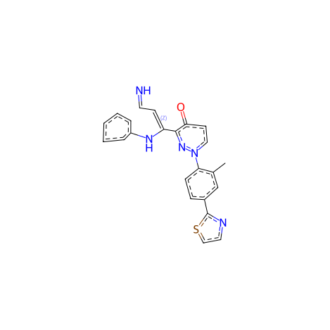 Cc1cc(-c2nccs2)ccc1-n1ccc(=O)c(/C(=C/C=N)Nc2ccccc2)n1